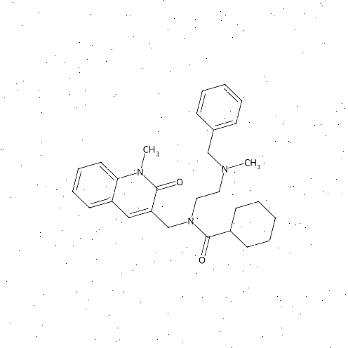 CN(CCN(Cc1cc2ccccc2n(C)c1=O)C(=O)C1CCCCC1)Cc1ccccc1